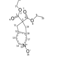 CCOC(=O)C1(C(=O)OCC)Cc2cc[n+]([O-])cc2C1